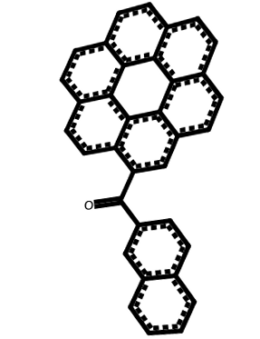 O=C(c1ccc2ccccc2c1)c1cc2ccc3ccc4ccc5ccc6ccc1c1c6c5c4c3c21